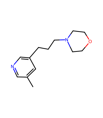 Cc1cncc(CCCN2CCOCC2)c1